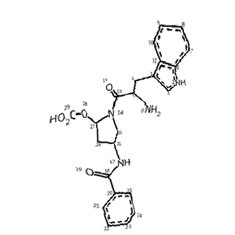 NC(Cc1c[nH]c2ccccc12)C(=O)N1CC(NC(=O)c2ccccc2)CC1OC(=O)O